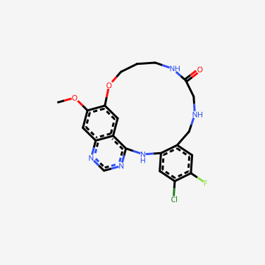 COc1cc2ncnc3c2cc1OCCCNC(=O)CNCc1cc(F)c(Cl)cc1N3